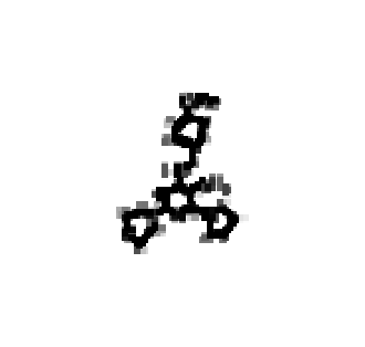 COc1ccc(CNc2nc(N3CCOCC3)nc(N3CCCC3)c2N)cc1